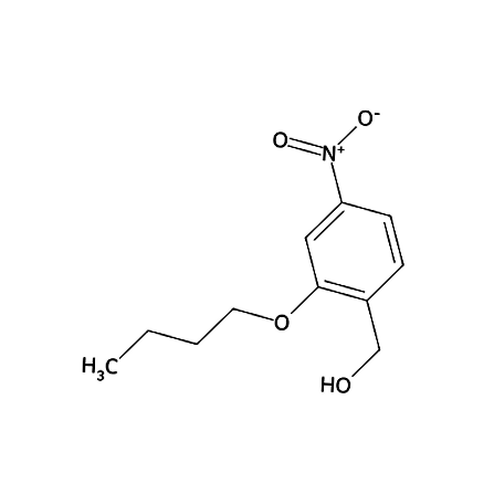 CCCCOc1cc([N+](=O)[O-])ccc1CO